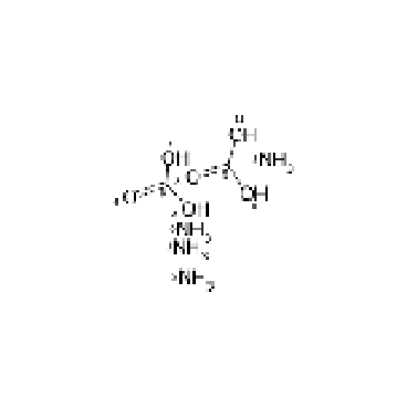 N.N.N.N.O=C(O)O.O=C(O)O